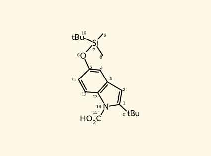 CC(C)(C)c1cc2cc(O[Si](C)(C)C(C)(C)C)ccc2n1C(=O)O